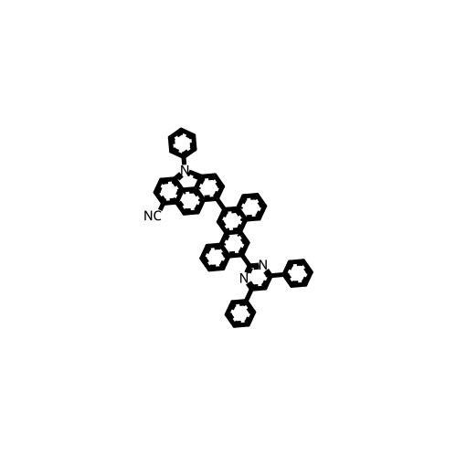 N#Cc1ccc2c3c1ccc1c(-c4cc5c6ccccc6c(-c6nc(-c7ccccc7)cc(-c7ccccc7)n6)cc5c5ccccc45)ccc(c13)n2-c1ccccc1